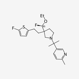 CCO[C@H](F)C1(CCc2ccc(F)s2)CCN(C(C)(C)c2ccc(C)nc2)C1